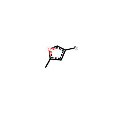 CCc1coc(C)c1